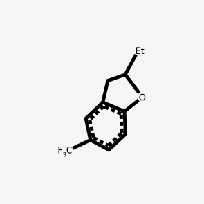 CCC1Cc2cc(C(F)(F)F)ccc2O1